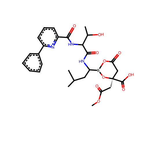 COC(=O)C[C@@]1(C(=O)O)CC(=O)OB(C(CC(C)C)NC(=O)C(NC(=O)c2cccc(-c3ccccc3)n2)C(C)O)O1